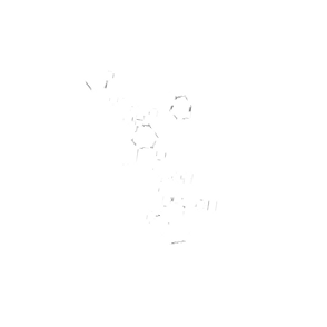 C=CC(=O)OCC(O)COc1c(C)cccc1Cc1cccc(CC)c1OCC(O)COC(=O)C1CC=CCC1C(=O)O